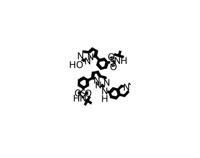 CC(C)(C)NS(=O)(=O)c1cccc(-c2ccc3cnc(O)nn23)c1.CN1CCc2ccc(Nc3ncc4ccc(-c5cccc(S(=O)(=O)NC(C)(C)C)c5)n4n3)cc2C1